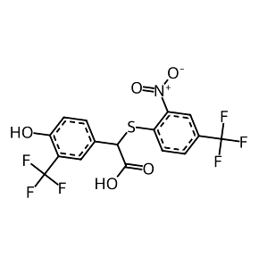 O=C(O)C(Sc1ccc(C(F)(F)F)cc1[N+](=O)[O-])c1ccc(O)c(C(F)(F)F)c1